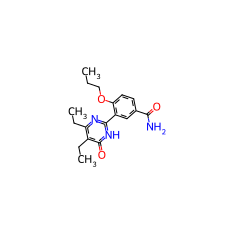 CCCOc1ccc(C(N)=O)cc1-c1nc(CC)c(CC)c(=O)[nH]1